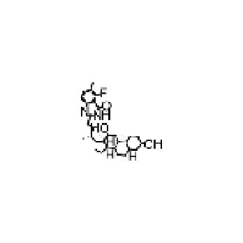 Cc1ccc2nc(CC[C@@H](C)[C@H]3CC[C@H]4[C@@H]5CC[C@@H]6C[C@H](O)CC[C@]6(C)C5C[C@H](O)[C@]34C)[nH]c(=O)c2c1F